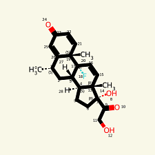 C[C@H]1C[C@H]2[C@@H]3CC[C@](O)(C(=O)CO)[C@@]3(C)C=C[C@]2(F)[C@@]2(C)C=CC(=O)C=C12